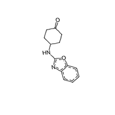 O=C1CCC(Nc2nc3ccccc3o2)CC1